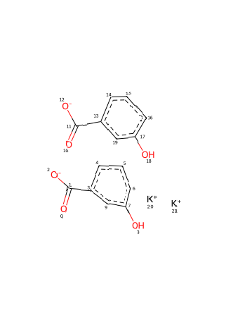 O=C([O-])c1cccc(O)c1.O=C([O-])c1cccc(O)c1.[K+].[K+]